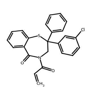 C=CC(=O)N1CC(c2ccccc2)(c2cccc(Cl)c2)Sc2ccccc2C1=O